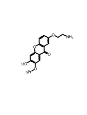 CCCOc1cc2c(=O)c3cc(OCCN)ccc3oc2cc1O